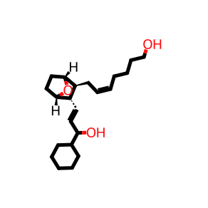 OCCCC/C=C\C[C@H]1[C@H](/C=C/C(O)C2CCCCC2)[C@@H]2CC[C@H]1O2